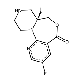 O=C1OC[C@H]2CNCCN2c2ncc(F)cc21